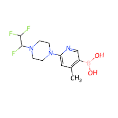 Cc1cc(N2CCN(C(F)C(F)F)CC2)ncc1B(O)O